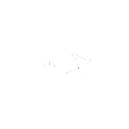 CCCCC1(C)OO1